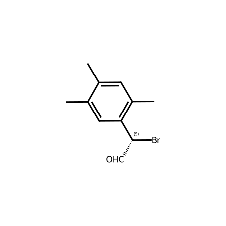 Cc1cc(C)c([C@H](Br)C=O)cc1C